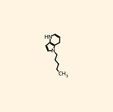 CCCCCn1ccc2c1CC=CN2